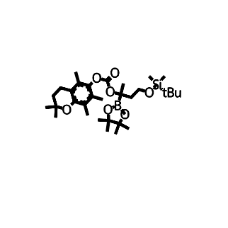 Cc1c(C)c2c(c(C)c1OC(=O)OC(C)(CCO[Si](C)(C)C(C)(C)C)B1OC(C)(C)C(C)(C)O1)CCC(C)(C)O2